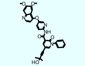 COc1cc2nccc(Oc3ccc(NC(=O)c4cc(C#CC(C)(C)O)cn(-c5ccccc5)c4=O)nc3)c2cc1OC